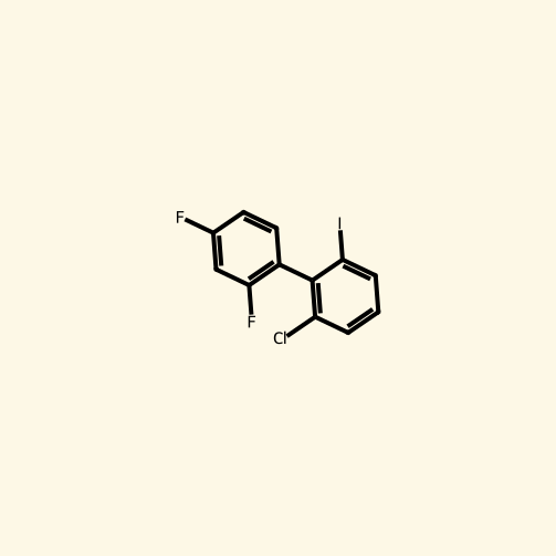 Fc1ccc(-c2c(Cl)cccc2I)c(F)c1